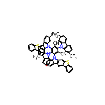 N#Cc1c(-n2c3cc(C(F)(F)F)ccc3c3ccc(C(F)(F)F)cc32)c(C#N)c(-n2c3ccccc3c3cc4c(cc32)sc2ccccc24)c(-n2c3ccccc3c3cc4c(cc32)sc2ccccc24)c1-n1c2cc(C(F)(F)F)ccc2c2ccc(C(F)(F)F)cc21